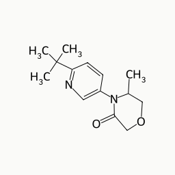 CC1COCC(=O)N1c1ccc(C(C)(C)C)nc1